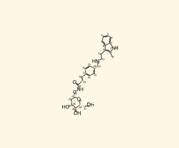 Cc1[nH]c2ccccc2c1CCNCc1ccc(/C=C/C(=O)NO[C@H]2C[C@@H](O)[C@H](O)[C@@H](CO)O2)cc1